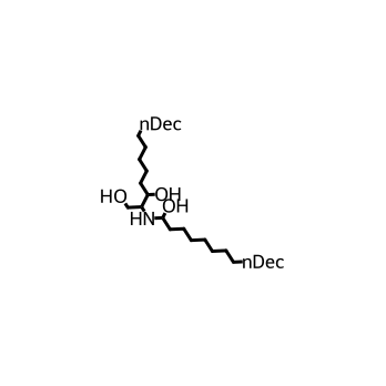 CCCCCCCCCCCCCCCCCC(O)NC(CO)C(O)CCCCCCCCCCCCCCC